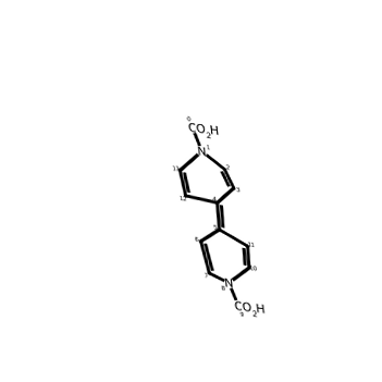 O=C(O)N1C=CC(=C2C=CN(C(=O)O)C=C2)C=C1